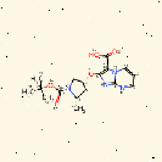 C[C@H]1C[C@@H](Oc2nc3ncccn3c2C(=O)O)CN1C(=O)OC(C)(C)C